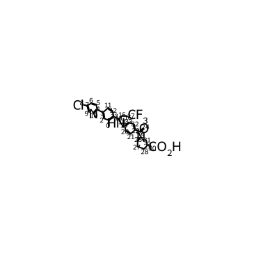 Cc1cc(-c2ccc(Cl)cn2)ccc1C(CCC(F)(F)F)Nc1ccc(C(=O)N2CCC[C@@H](C(=O)O)C2)cc1